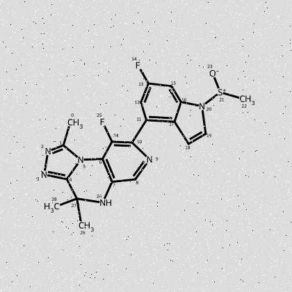 Cc1nnc2n1-c1c(cnc(-c3cc(F)cc4c3ccn4[S+](C)[O-])c1F)NC2(C)C